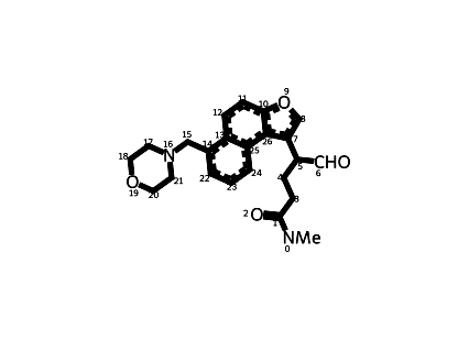 CNC(=O)CCC(C=O)c1coc2ccc3c(CN4CCOCC4)cccc3c12